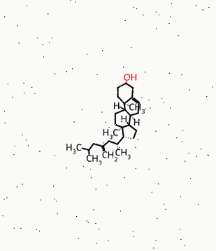 C=C(CC(C)C)C[C@@H](C)[C@H]1CC[C@H]2[C@@H]3CC=C4C[C@@H](O)CC[C@]4(C)[C@H]3CC[C@]12C